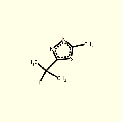 Cc1nnc(C(C)(C)I)s1